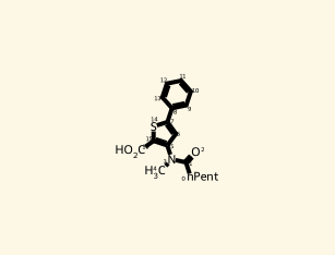 CCCCCC(=O)N(C)c1cc(-c2ccccc2)sc1C(=O)O